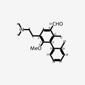 COc1c(CCN(C)C)cc(C=O)c(C)c1-c1ccccc1C